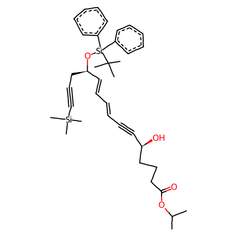 CC(C)OC(=O)CCC[C@H](O)C#C/C=C/C=C/[C@@H](CC#C[Si](C)(C)C)O[Si](c1ccccc1)(c1ccccc1)C(C)(C)C